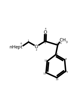 CCCCCCCCOC(=O)C(C)c1c[c]ccc1